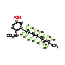 CCOC(=O)c1ccc(O)cc1C(F)(F)C(F)(F)C(F)(F)C(F)(F)C(F)(F)C(F)(F)C(F)(F)C(F)(F)F